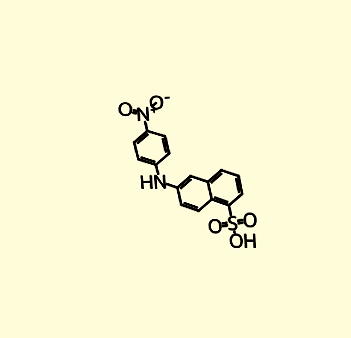 O=[N+]([O-])c1ccc(Nc2ccc3c(S(=O)(=O)O)cccc3c2)cc1